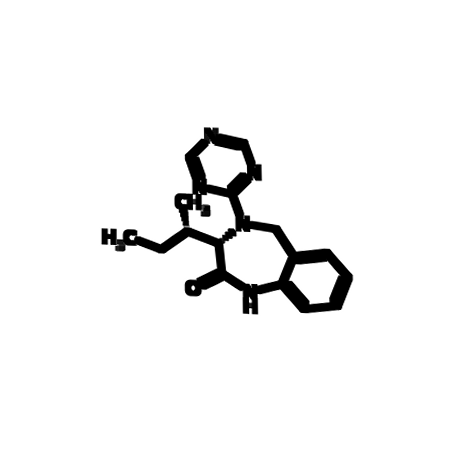 CC[C@H](C)[C@H]1C(=O)Nc2ccccc2CN1c1ncncn1